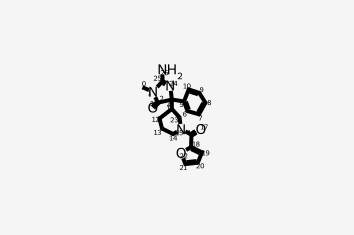 CN1C(=O)C(c2ccccc2)(C2CCCN(C(=O)c3ccco3)C2)N=C1N